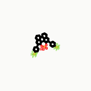 O=P1(O)Oc2c(-c3ccc(S(F)(F)(F)(F)F)cc3)cc3ccccc3c2-c2c(c(-c3ccc(S(F)(F)(F)(F)F)cc3)cc3ccccc23)O1